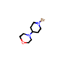 BrN1CCC(N2CCOCC2)CC1